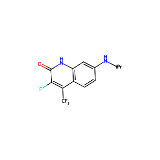 CC(C)Nc1ccc2c(C(F)(F)F)c(F)c(=O)[nH]c2c1